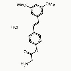 COc1cc(C=Cc2ccc(OC(=O)CN)cc2)cc(OC)c1.Cl